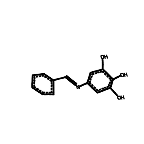 Oc1cc(/N=C/c2ccccc2)cc(O)c1O